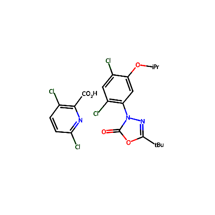 CC(C)Oc1cc(-n2nc(C(C)(C)C)oc2=O)c(Cl)cc1Cl.O=C(O)c1nc(Cl)ccc1Cl